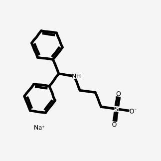 O=S(=O)([O-])CCCNC(c1ccccc1)c1ccccc1.[Na+]